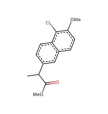 COC(=O)C(C)c1ccc2c(Cl)c(OC)ccc2c1